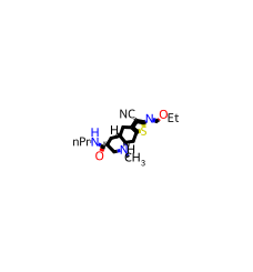 CCCNC(=O)[C@@H]1C[C@@H]2Cc3c(sc(N=COCC)c3C#N)C[C@H]2N(C)C1